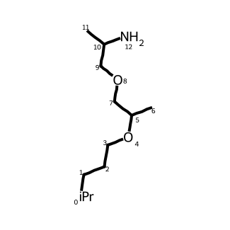 CC(C)CCCOC(C)COCC(C)N